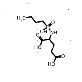 CCCCP(=O)(O)NC(CCC(=O)O)C(=O)O